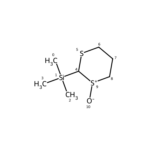 C[Si](C)(C)C1SCCC[S+]1[O-]